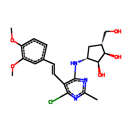 COc1ccc(/C=C/c2c(Cl)nc(C)nc2N[C@@H]2C[C@H](CO)[C@@H](O)[C@H]2O)cc1OC